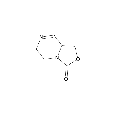 O=C1OCC2C=NCCN12